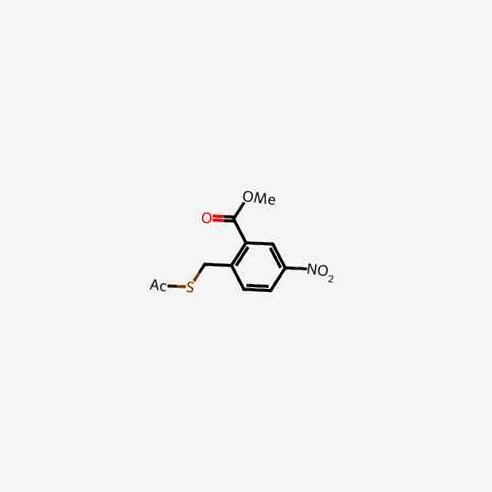 COC(=O)c1cc([N+](=O)[O-])ccc1CSC(C)=O